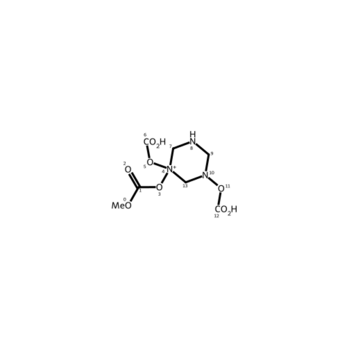 COC(=O)O[N+]1(OC(=O)O)CNCN(OC(=O)O)C1